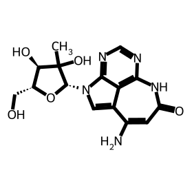 CC1(O)[C@H](O)[C@@H](CO)O[C@H]1n1cc2c3c(ncnc31)NC(=O)C=C2N